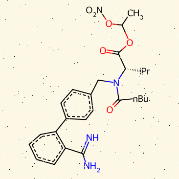 CCCCC(=O)N(Cc1ccc(-c2ccccc2C(=N)N)cc1)[C@H](C(=O)OC(C)O[N+](=O)[O-])C(C)C